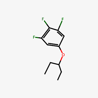 CCC(CC)Oc1cc(F)c(F)c(F)c1